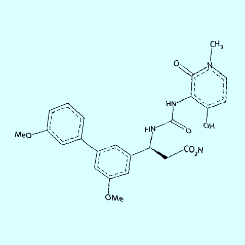 COc1cccc(-c2cc(OC)cc([C@H](CC(=O)O)NC(=O)Nc3c(O)ccn(C)c3=O)c2)c1